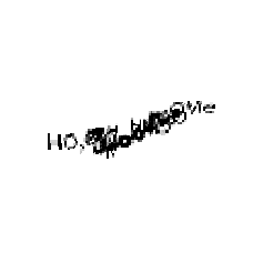 COC(=O)N[C@@H](C)C(=O)N1CCC[C@H]1c1ncc(-c2ccc(-c3ccc(-c4cnc([C@@H]5CCCN5C(=O)[C@@H]5CCN5C(=O)O)[nH]4)cc3)cc2)[nH]1